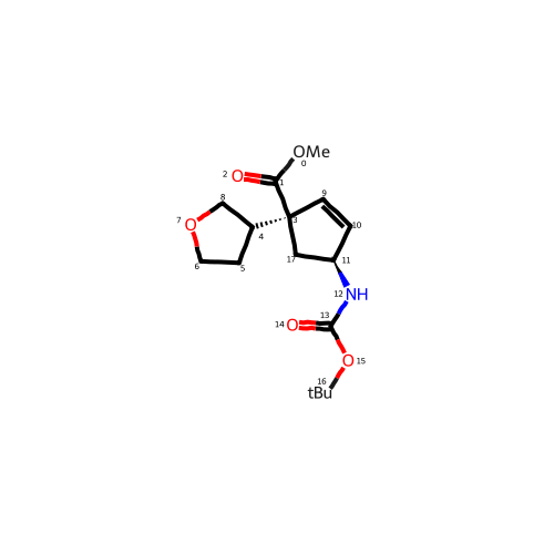 COC(=O)[C@@]1(C2CCOC2)C=C[C@@H](NC(=O)OC(C)(C)C)C1